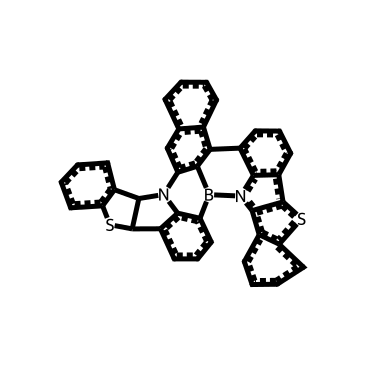 c1ccc2c(c1)SC1c3cccc4c3N(c3cc5ccccc5c5c3B4n3c4c-5cccc4c4sc5ccccc5c43)C21